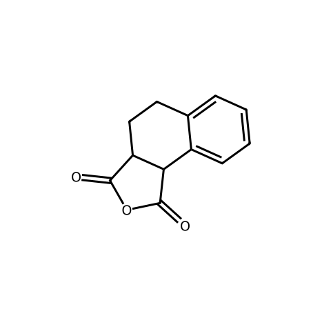 O=C1OC(=O)C2c3ccccc3CCC12